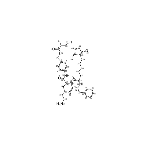 CC(SS)C(=O)OCc1ccc(NC(=O)[C@H](CCCCN)NC(=O)[C@H](Cc2ccccc2)NC(=O)CCCCCN2C(=O)C=CC2=O)cc1